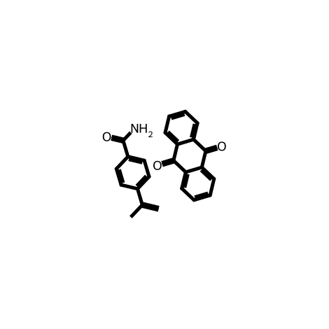 C=C(C)c1ccc(C(N)=O)cc1.O=C1c2ccccc2C(=O)c2ccccc21